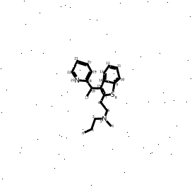 CCCN(C)CCc1sc2ccccc2c1C(C)c1ccccn1